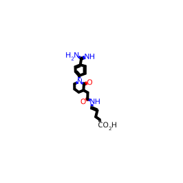 N=C(N)c1ccc(N2CCCC(CC(=O)NC=CCCC(=O)O)C2=O)cc1